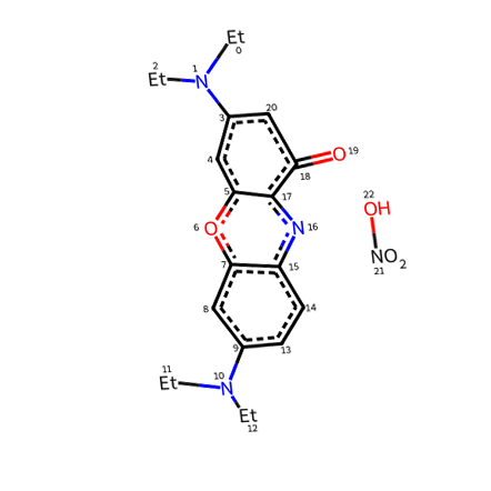 CCN(CC)c1cc2oc3cc(N(CC)CC)ccc3nc-2c(=O)c1.O=[N+]([O-])O